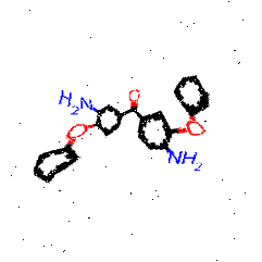 Nc1cc(C(=O)c2ccc(N)c(Oc3ccccc3)c2)ccc1Oc1ccccc1